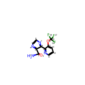 NC(=O)c1nccnc1-c1ncccc1OC(F)(F)F